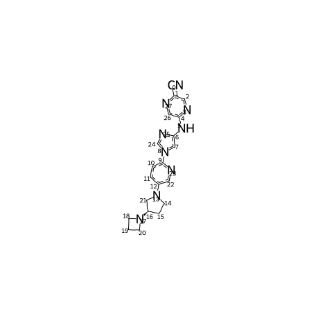 N#Cc1cnc(Nc2cn(-c3ccc(N4CC[C@@H](N5CCC5)C4)cn3)cn2)cn1